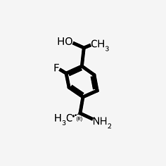 CC(O)c1ccc([C@@H](C)N)cc1F